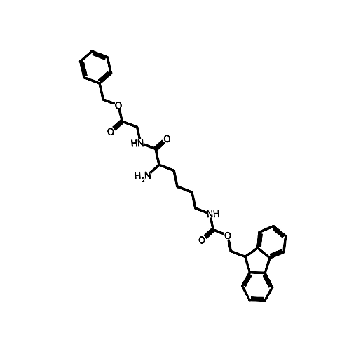 NC(CCCCNC(=O)OCC1c2ccccc2-c2ccccc21)C(=O)NCC(=O)OCc1ccccc1